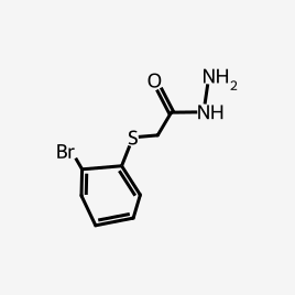 NNC(=O)CSc1ccccc1Br